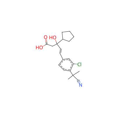 CC(C)(C#N)c1ccc(/C=C/C(O)(CC(=O)O)C2CCCC2)cc1Cl